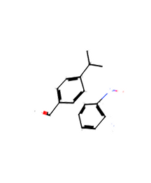 CC(C)c1ccc(C=O)cc1.ONc1ccccc1.[N]